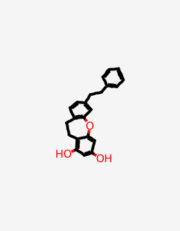 Oc1cc(O)c2c(c1)Oc1cc(CCc3ccccc3)ccc1CC2